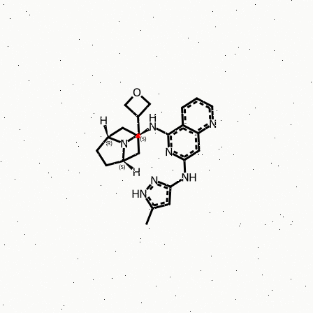 Cc1cc(Nc2cc3ncccc3c(N[C@@H]3C[C@H]4CC[C@@H](C3)N4CC3COC3)n2)n[nH]1